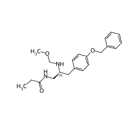 CCC(=O)NC[C@H](Cc1ccc(OCc2ccccc2)cc1)NCOC